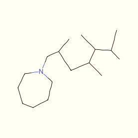 CC(CC(C)C(C)C(C)C)CN1CCCCCC1